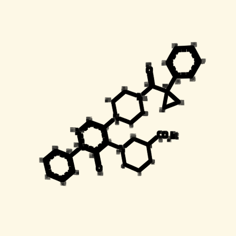 CCOC(=O)C1CCCN(c2c(N3CCN(C(=O)C4(c5ccccc5)CC4)CC3)cnn(-c3ccccc3)c2=O)C1